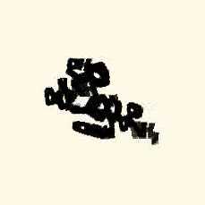 COc1c(OC(N)=O)cnc2ccc(/C=S3/CC(=O)N=C3N[C@@H](CO)c3ccccc3)cc12